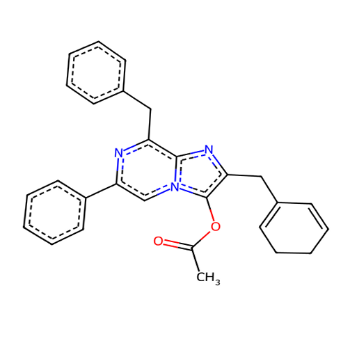 CC(=O)Oc1c(CC2=CCCC=C2)nc2c(Cc3ccccc3)nc(-c3ccccc3)cn12